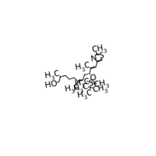 C/C(=C/C[C@H](O[Si](C)(C)C(C)(C)C)/C(C)=C/c1csc(C)n1)CCC[C@H](C)CO